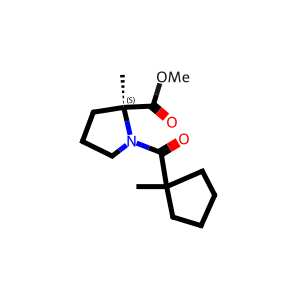 COC(=O)[C@]1(C)CCCN1C(=O)C1(C)CCCC1